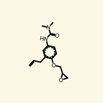 C=CCc1cc(NC(=O)N(C)C)ccc1OCC1CO1